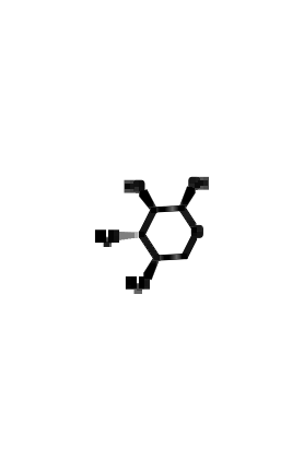 N[C@@H]1[C@@H](O)[C@@H](O)OC[C@H]1N